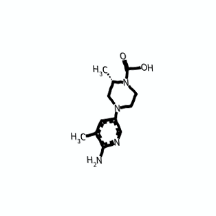 Cc1cc(N2CCN(C(=O)O)[C@@H](C)C2)cnc1N